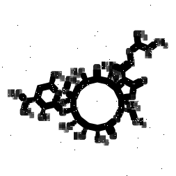 CC[C@@H]1OC(=O)[C@H](C)[C@H](O)[C@H](C)[C@@H](OC2O[C@H](C)C[C@H](N(C)C)[C@H]2O)[C@](C)(OC)C[C@@H](C)C(=O)[C@H](C)[C@H]2[C@H](/C(N)=N/OC(C)PC)C(=O)O[C@]21C